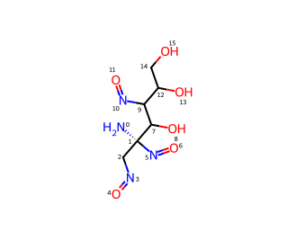 N[C@@](CN=O)(N=O)C(O)C(N=O)C(O)CO